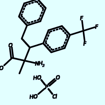 CC(N)(C(=O)O)C(Cc1ccccc1)c1ccc(C(F)(F)F)cc1.O=P(O)(O)Cl